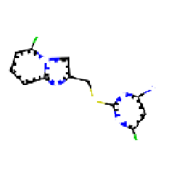 Nc1cc(Cl)nc(SCc2cn3c(Cl)cccc3n2)n1